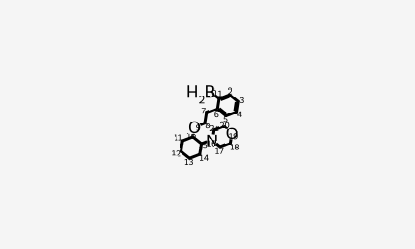 Bc1ccccc1CCO[C@H]1CCCCC1N1CCOCC1